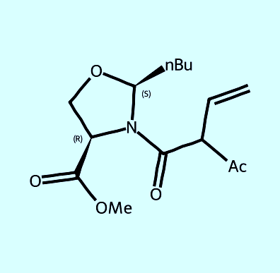 C=CC(C(C)=O)C(=O)N1[C@H](CCCC)OC[C@@H]1C(=O)OC